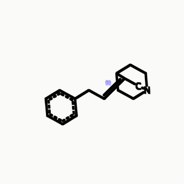 C(/Cc1ccccc1)=C1\CN2CCC1CC2